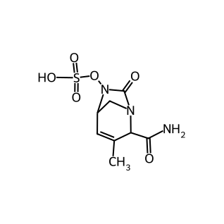 CC1=CC2CN(C(=O)N2OS(=O)(=O)O)C1C(N)=O